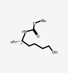 CCC[C@@H](CCCCO)NC(=O)OC(C)(C)C